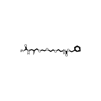 CC(C)C(=O)NCC(F)COCCOCCOCCNC(=O)OCc1ccccc1